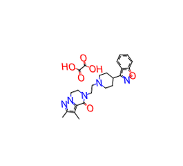 Cc1nn2c(c1C)C(=O)N(CCN1CCC(c3noc4ccccc34)CC1)CC2.O=C(O)C(=O)O